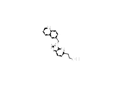 OCCc1ccc2nnn(Cc3ccc4ncccc4c3)c2n1